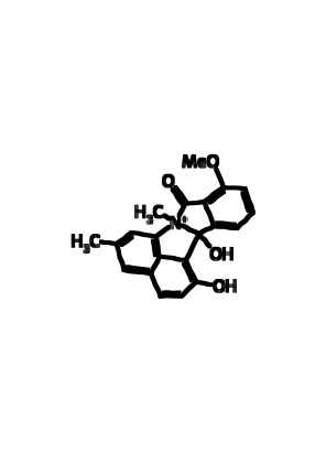 COc1cccc2c1C(=O)[N+]1(C)c3cc(C)cc4ccc(O)c(c34)C21O